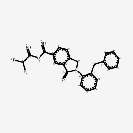 N=C(OC(=N)C(F)F)c1ccc2c(c1)C(=O)N(c1ccccc1Cc1ccccc1)C2